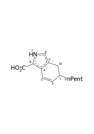 CCCCCC1C=Cc2c(c[nH]c2C(=O)O)C1